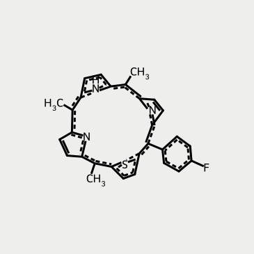 Cc1c2nc(c(C)c3ccc(s3)c(-c3ccc(F)cc3)c3nc(c(C)c4ccc1[nH]4)C=C3)C=C2